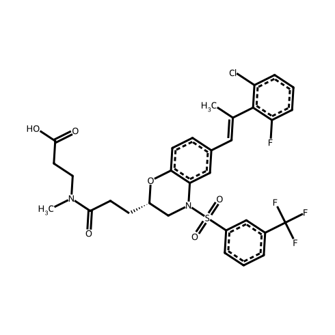 C/C(=C\c1ccc2c(c1)N(S(=O)(=O)c1cccc(C(F)(F)F)c1)C[C@H](CCC(=O)N(C)CCC(=O)O)O2)c1c(F)cccc1Cl